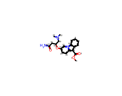 COC(=O)c1c2ccccc2n2cc(OC(CC(N)=O)CN(C)C)ccc12